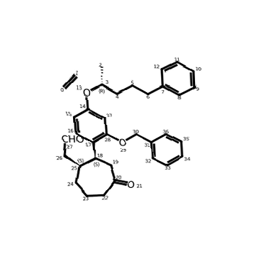 C=C.C[C@H](CCCc1ccccc1)Oc1ccc([C@H]2CC(=O)CCC[C@H]2CC=O)c(OCc2ccccc2)c1